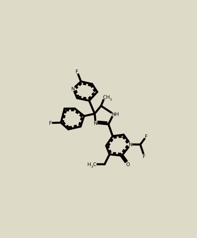 CCc1cc(C2=NC(c3ccc(F)cc3)(c3ccc(F)nc3)C(C)N2)cn(C(F)F)c1=O